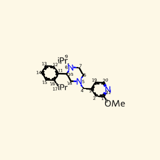 COc1cc(CN2CCN(C(C)C)C(c3ccccc3C(C)C)C2)ccn1